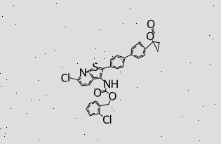 C[C@@H](OC(=O)Nc1c(-c2ccc(-c3ccc(C4(OC=O)CC4)cc3)cc2)sc2nc(Cl)ccc12)c1ccccc1Cl